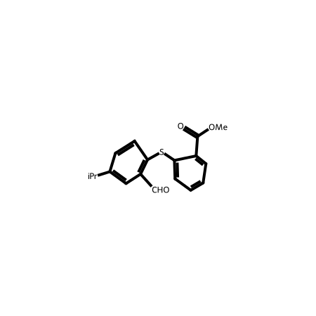 COC(=O)c1ccccc1Sc1ccc(C(C)C)cc1C=O